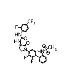 CS(=O)(=O)Nc1ccccc1-c1ccc(N2CC[C@@H](NC(=O)Nc3ccc(C(F)(F)F)cc3F)C2=O)c(F)c1F